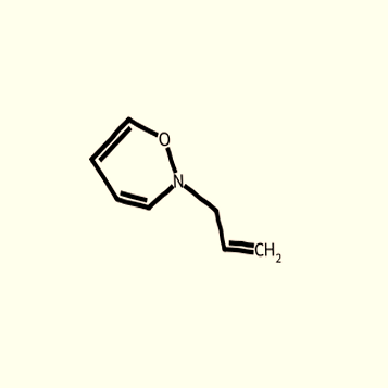 C=CCN1C=CC=CO1